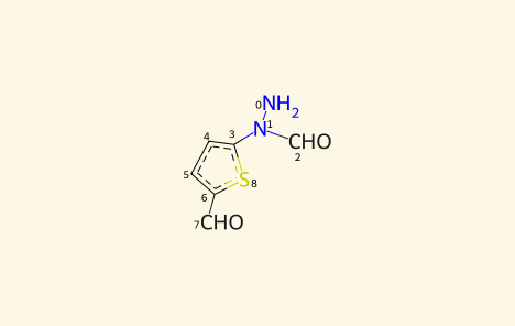 NN(C=O)c1ccc(C=O)s1